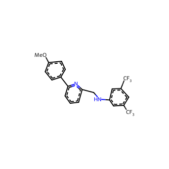 COc1ccc(-c2cccc(CNc3cc(C(F)(F)F)cc(C(F)(F)F)c3)n2)cc1